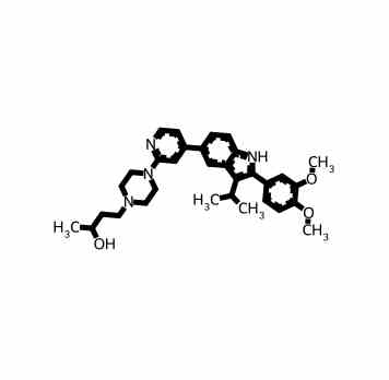 COc1ccc(-c2[nH]c3ccc(-c4ccnc(N5CCN(CCC(C)O)CC5)c4)cc3c2C(C)C)cc1OC